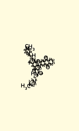 CN1CCN(CCCNC(=O)c2cn3c4cc5c(=O)c6ccccc6c(=O)c5cc4oc4c(NCCCN5CCN(C)CC5)c(F)cc(c2=O)c43)CC1